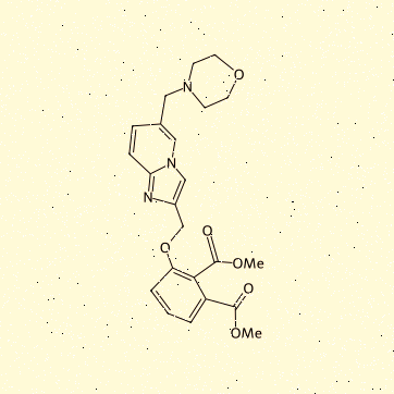 COC(=O)c1cccc(OCc2cn3cc(CN4CCOCC4)ccc3n2)c1C(=O)OC